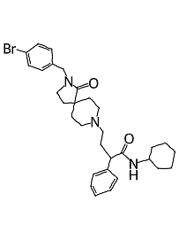 O=C(NC1CCCCC1)C(CCN1CCC2(CC1)CCN(Cc1ccc(Br)cc1)C2=O)c1ccccc1